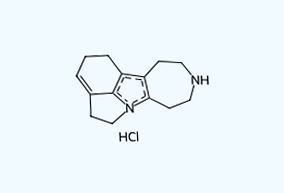 C1=C2CCn3c4c(c(c32)CC1)CCNCC4.Cl